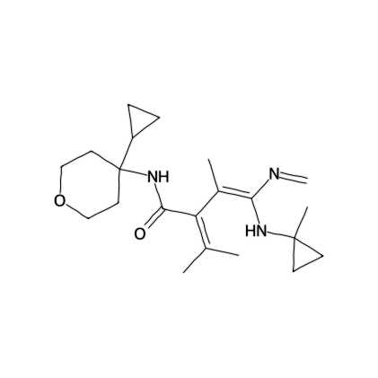 C=N/C(NC1(C)CC1)=C(\C)C(C(=O)NC1(C2CC2)CCOCC1)=C(C)C